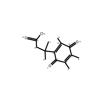 CC1=C(C)C(=O)C(C(C)(C)CC(=O)Cl)=C(C)C1=O